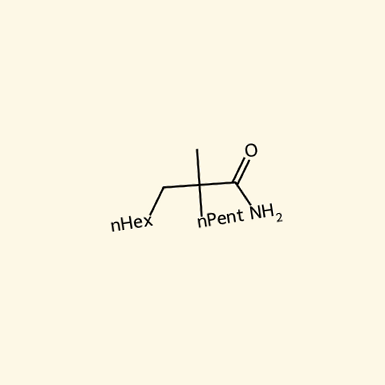 CCCCCCCC(C)(CCCCC)C(N)=O